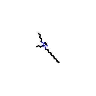 CCCCCCCCCC[n+]1ccn(CCCCC)c1CCC